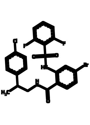 CC(CNC(=O)c1ccc(Br)cc1NS(=O)(=O)c1c(F)cccc1F)c1ccc(Cl)cc1